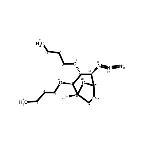 CCCCO[C@H]1[C@H](OCCCC)[C@@H](N=[N+]=[N-])C2OC[C@H]1O2